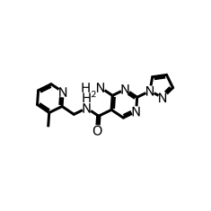 Cc1cccnc1CNC(=O)c1cnc(-n2cccn2)nc1N